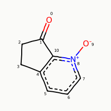 O=C1CCc2ccc[n+]([O-])c21